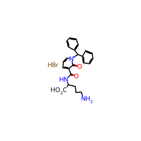 Br.NCCCC(NC(=O)c1cccn(C(c2ccccc2)c2ccccc2)c1=O)C(=O)O